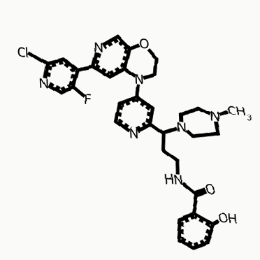 CN1CCN(C(CCNC(=O)c2ccccc2O)c2cc(N3CCOc4cnc(-c5cc(Cl)ncc5F)cc43)ccn2)CC1